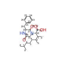 [CH2]C(C(C)CCCC(C)C)C(C(=O)O)N1CC(=O)NC(Cc2ccccc2)C1=O